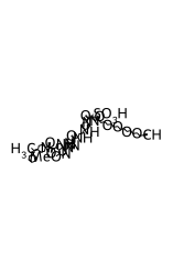 C#CCOCCOCCOCCOCCC(=O)N[C@@H](CS(=O)(=O)O)C(=O)N1CCN(CCNC(=O)c2ncn(-c3ncc(OC)c4c(C(=O)C(=O)N5CCC(=C(C)c6ccccc6)CC5)c[nH]c34)n2)CC1